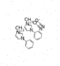 C[n+]1ccn(-c2ccccc2)c1.C[n+]1ccn(-c2ccccc2)c1.N#C[O-].N#C[O-]